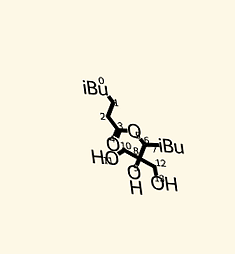 CCC(C)CCC(=O)OC(C(C)CC)C(O)(CO)CO